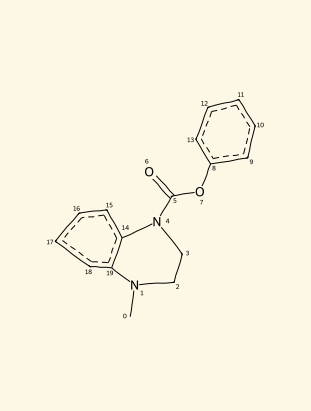 CN1CCN(C(=O)Oc2ccccc2)c2ccccc21